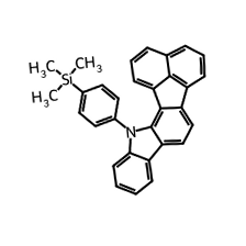 C[Si](C)(C)c1ccc(-n2c3ccccc3c3ccc4c(c32)-c2cccc3cccc-4c23)cc1